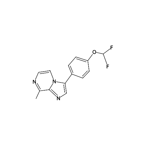 Cc1nccn2c(-c3ccc(OC(F)F)cc3)cnc12